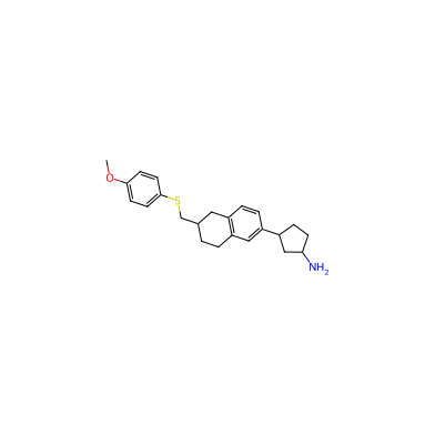 COc1ccc(SCC2CCc3cc(C4CCC(N)C4)ccc3C2)cc1